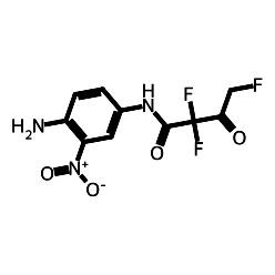 Nc1ccc(NC(=O)C(F)(F)C(=O)CF)cc1[N+](=O)[O-]